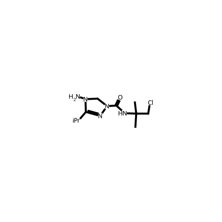 CC(C)C1=NN(C(=O)NC(C)(C)CCl)CN1N